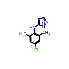 Cc1cc(Cl)cc(C)c1Nc1ccn[nH]1